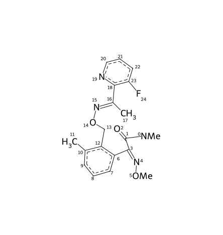 CNC(=O)/C(=N/OC)c1cccc(C)c1CO/N=C(\C)c1ncccc1F